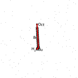 CCCCCCCCC=CCCCCCCCCOCCOCCOCCOCCOCCOCCOCCOCCOCCOCCOCCOCCOCCOCCOCCOCCOCCOCCOCCOCCOC(=O)CCN1CC[N+](C)(CCCC)CC1.[Br-]